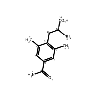 Cc1cc(C(N)=O)cc(C)c1C[C@H](N)C(=O)O